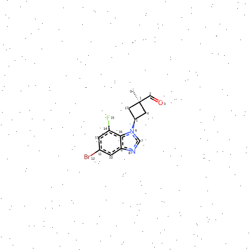 C[C@]1(C=O)C[C@@H](n2cnc3cc(Br)cc(F)c32)C1